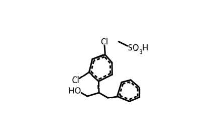 CS(=O)(=O)O.OCC(Cc1ccccc1)c1ccc(Cl)cc1Cl